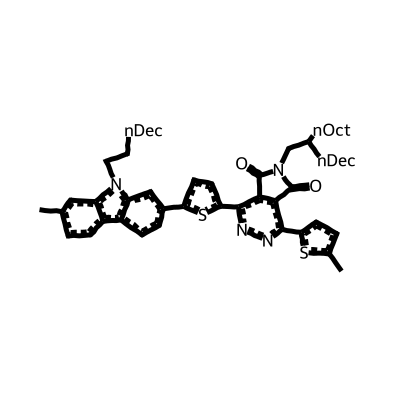 CCCCCCCCCCCCn1c2cc(C)ccc2c2ccc(-c3ccc(-c4nnc(-c5ccc(C)s5)c5c4C(=O)N(CC(CCCCCCCC)CCCCCCCCCC)C5=O)s3)cc21